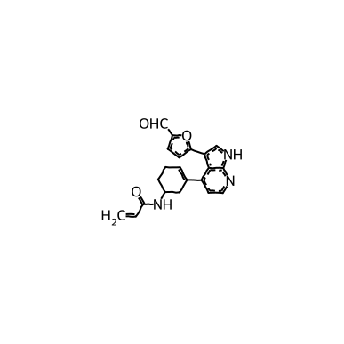 C=CC(=O)NC1CCC=C(c2ccnc3[nH]cc(-c4ccc(C=O)o4)c23)C1